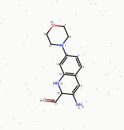 NC1=Cc2ccc(N3CCOCC3)cc2NC1C=O